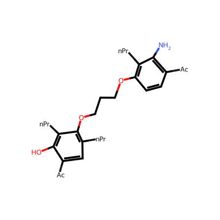 CCCc1cc(C(C)=O)c(O)c(CCC)c1OCCCOc1ccc(C(C)=O)c(N)c1CCC